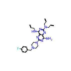 C=CCNc1nc(N(CC=C)CC=C)nc2c(N)nc(N3CCN(Cc4ccc(F)cc4)CC3)nc12